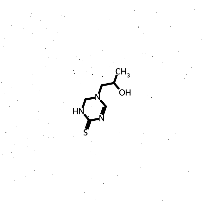 CC(O)CN1C=NC(=S)NC1